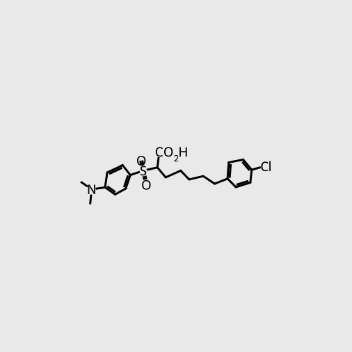 CN(C)c1ccc(S(=O)(=O)C(CCCCCc2ccc(Cl)cc2)C(=O)O)cc1